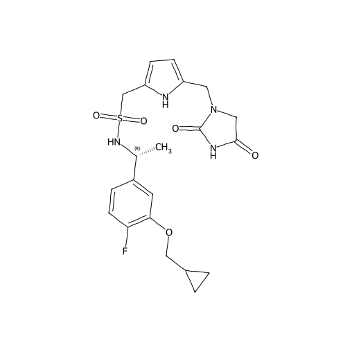 C[C@@H](NS(=O)(=O)Cc1ccc(CN2CC(=O)NC2=O)[nH]1)c1ccc(F)c(OCC2CC2)c1